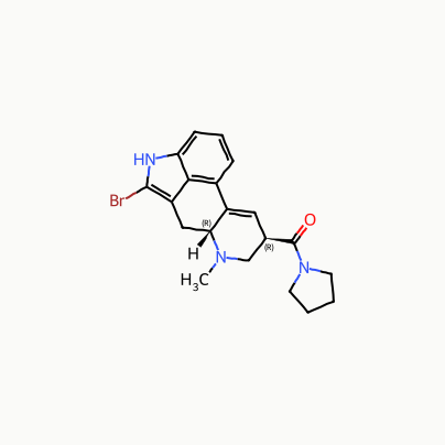 CN1C[C@H](C(=O)N2CCCC2)C=C2c3cccc4[nH]c(Br)c(c34)C[C@H]21